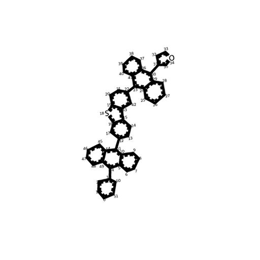 c1ccc(-c2c3ccccc3c(-c3ccc4c(c3)sc3ccc(-c5c6ccccc6c(-c6ccoc6)c6ccccc56)cc34)c3ccccc23)cc1